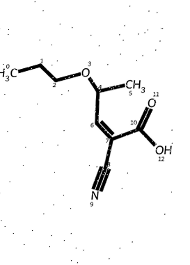 CCCOC(C)C=C(C#N)C(=O)O